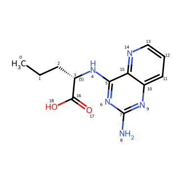 CCC[C@H](Nc1nc(N)nc2cccnc12)C(=O)O